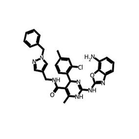 CC1=C(C(=O)NCc2cnn(Cc3ccccc3)c2)C(c2ccc(C)cc2Cl)N=C(Nc2nc3cccc(N)c3o2)N1